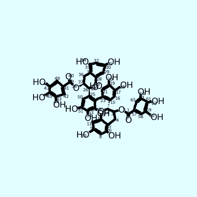 O=C(OC1Cc2c(O)cc(O)cc2O[C@@H]1c1cc(O)c(O)c(O)c1-c1c([C@@H]2Oc3cc(O)cc(O)c3C[C@@H]2OC(=O)c2cc(O)c(O)c(O)c2)cc(O)c(O)c1O)c1cc(O)c(O)c(O)c1